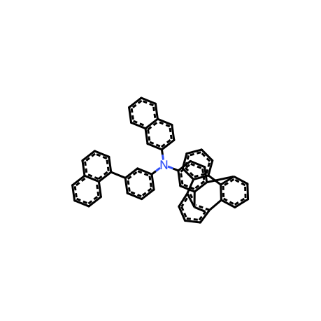 c1cc(-c2cccc3ccccc23)cc(N(c2ccc3c(c2)-c2c4cccc2-c2cccc-3c2-c2ccccc2-4)c2ccc3ccccc3c2)c1